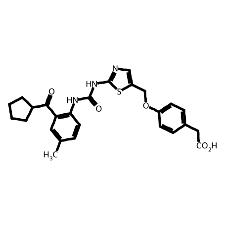 Cc1ccc(NC(=O)Nc2ncc(COc3ccc(CC(=O)O)cc3)s2)c(C(=O)C2CCCC2)c1